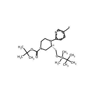 CC(C)(C)OC(=O)N1CCN(c2ccc(F)cn2)[C@H](CO[Si](C)(C)C(C)(C)C)C1